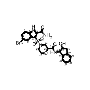 NC(=O)c1[nH]c2ccc(Br)cc2c1S(=O)(=O)N1CCOC(C(=O)NC2c3ccccc3CC2O)C1